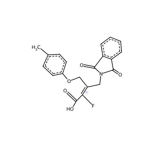 Cc1ccc(OC/C(CN2C(=O)c3ccccc3C2=O)=C(/F)C(=O)O)cc1